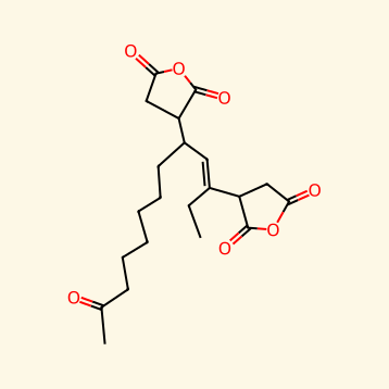 CC/C(=C\C(CCCCCCC(C)=O)C1CC(=O)OC1=O)C1CC(=O)OC1=O